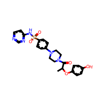 CC(Oc1ccc(O)cc1)C(=O)N1CCN(c2ccc(S(=O)(=O)Nc3ccncn3)cc2)CC1